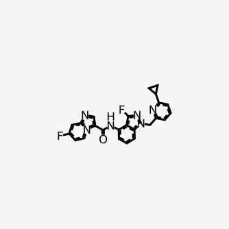 O=C(Nc1cccc2c1c(F)nn2Cc1cccc(C2CC2)n1)c1cnc2cc(F)ccn12